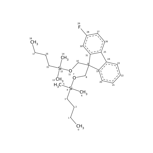 CCCC[Si](C)(C)OCC1(CO[Si](C)(C)CCCC)c2ccccc2-c2ccc(F)cc21